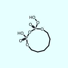 O=P1(O)OCCCCCCOP(=O)(OO)O1